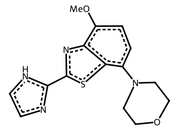 COc1ccc(N2CCOCC2)c2sc(-c3ncc[nH]3)nc12